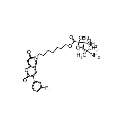 CC(C)(N)CC(C)(N)C(C)(C)C(=O)OCCCCCCCn1cc2cc(-c3cccc(F)c3)c(=O)oc2cc1=O